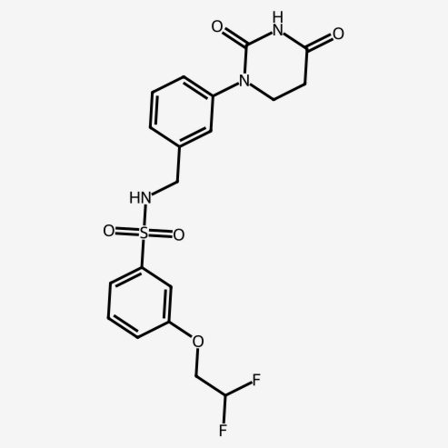 O=C1CCN(c2cccc(CNS(=O)(=O)c3cccc(OCC(F)F)c3)c2)C(=O)N1